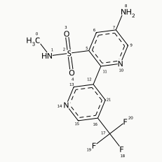 CNS(=O)(=O)c1cc(N)cnc1-c1cncc(C(F)(F)F)c1